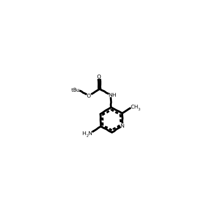 Cc1ncc(N)cc1NC(=O)OC(C)(C)C